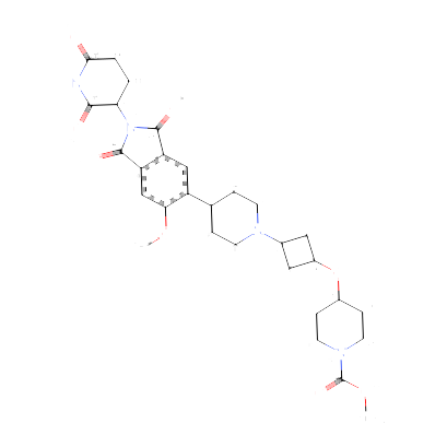 CC(C)Oc1cc2c(cc1C1CCN(C3CC(OC4CCN(C(=O)OC(C)(C)C)CC4)C3)CC1)C(=O)N(C1CCC(=O)NC1=O)C2=O